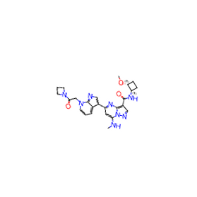 CNc1cc(-c2cnc3n(CC(=O)N4CCC4)cccc2-3)nc2c(C(=O)N[C@@H]3CC[C@H]3OC)cnn12